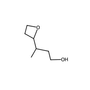 CC(CCO)C1CCO1